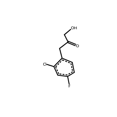 O=C(CO)Cc1ccc(F)cc1Cl